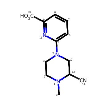 CN1CCN(c2cccc(C(=O)O)n2)CC1C#N